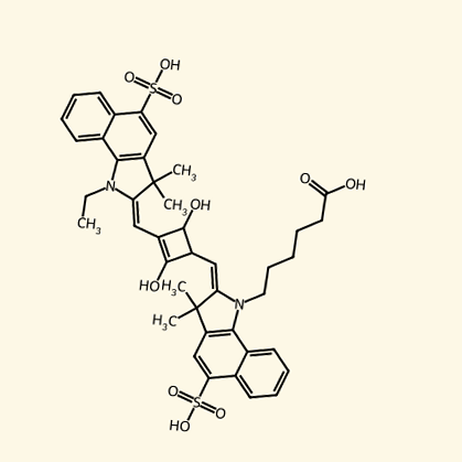 CCN1C(=CC2=C(O)C(C=C3N(CCCCCC(=O)O)c4c(cc(S(=O)(=O)O)c5ccccc45)C3(C)C)C2O)C(C)(C)c2cc(S(=O)(=O)O)c3ccccc3c21